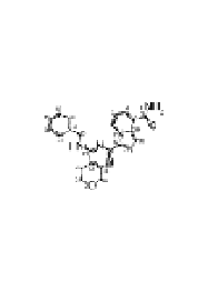 NC(=O)c1cccn2c(-c3nc4c(c(NCc5ccccc5)n3)CCOC4)ncc12